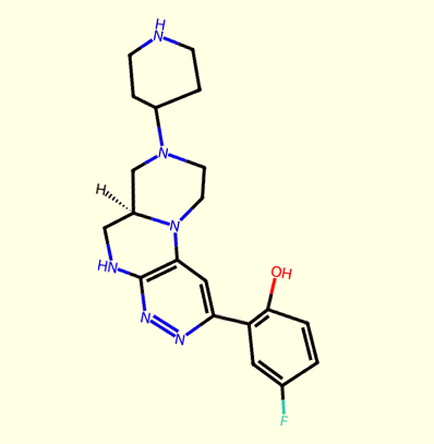 Oc1ccc(F)cc1-c1cc2c(nn1)NC[C@H]1CN(C3CCNCC3)CCN21